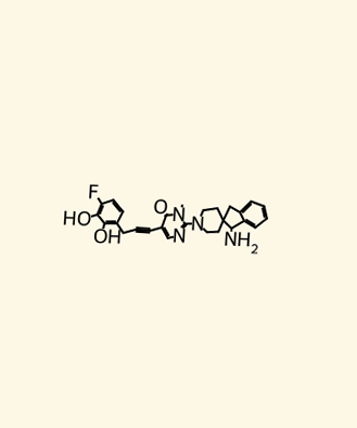 Cn1c(N2CCC3(CC2)Cc2ccccc2[C@H]3N)ncc(C#CCc2ccc(F)c(O)c2O)c1=O